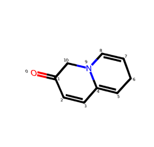 O=C1C=CC2=CCC=CN2C1